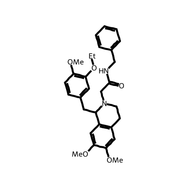 CCOc1cc(CC2c3cc(OC)c(OC)cc3CCN2CC(=O)NCc2ccccc2)ccc1OC